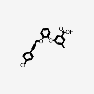 Cc1cc(Oc2ccccc2OCC#Cc2ccc(Cl)cc2)cc(C(=O)O)c1